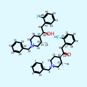 C[C@@H]1CN(Cc2ccccc2)CC[C@H]1C(=O)Cc1ccccc1F.C[C@@H]1CN(Cc2ccccc2)CC[C@H]1C(O)Cc1ccccc1F